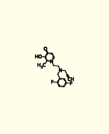 C#CCN(CCn1ccc(=O)c(O)c1C)Cc1cc(F)ccc1F